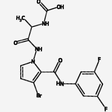 CC(NC(=O)O)C(=O)Nn1ccc(Br)c1C(=O)Nc1cc(F)cc(F)c1